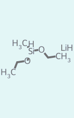 CCO[SiH](C)OCC.[LiH]